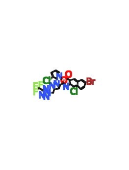 O=c1oc(-c2cc(Cn3nnc(C(F)(F)F)n3)nn2-c2ncccc2Cl)nc2c(Cl)c3ccc(Br)cc3cc12